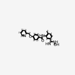 Cc1ccc(C(=N)NO)cc1NC(=O)c1ccc(OCc2ccccn2)cc1